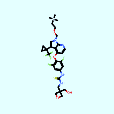 C[Si](C)(C)CCOCn1cc(C2(C(F)(F)F)CC2)c2c(Oc3c(F)cc(NC(=S)NCC4(CO)COC4)cc3F)ccnc21